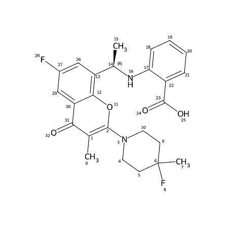 Cc1c(N2CCC(C)(F)CC2)oc2c([C@@H](C)Nc3ccccc3C(=O)O)cc(F)cc2c1=O